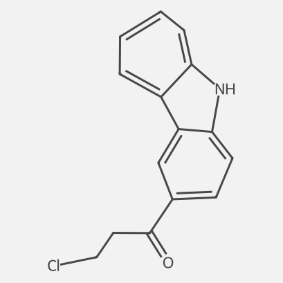 O=C(CCCl)c1ccc2[nH]c3ccccc3c2c1